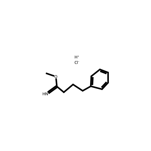 COC(=N)CCCc1ccccc1.[Cl-].[H+]